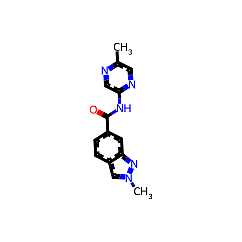 Cc1cnc(NC(=O)c2ccc3cn(C)nc3c2)cn1